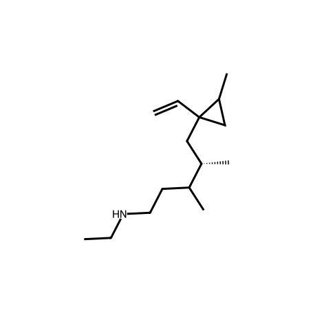 C=CC1(C[C@H](C)C(C)CCNCC)CC1C